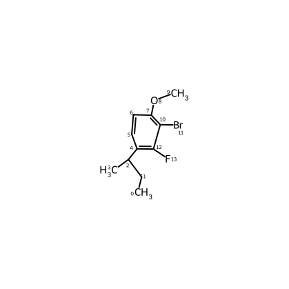 C[CH]C(C)c1ccc(OC)c(Br)c1F